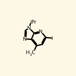 Cc1cc(I)nc2c1ncn2C(C)C